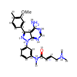 COc1cc(-c2nn(-c3cccc(N(C)C(=O)/C=C/CN(C)C)c3)c3ncnc(N)c23)ccc1C